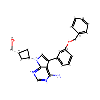 Nc1ncnc2c1c(-c1cccc(OCc3ccccc3)c1)cn2[C@H]1C[C@@H](CO)C1